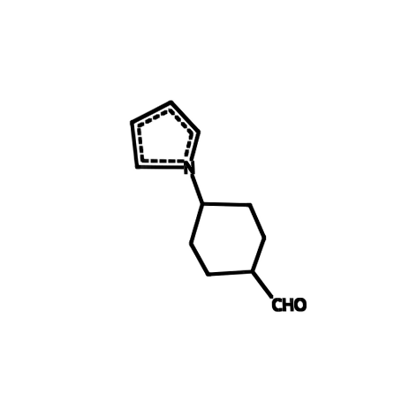 O=CC1CCC(n2cccc2)CC1